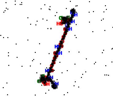 O=C(O)CC(NC(=O)[C@H](CCCCNC(=O)CCOCCOCCOCCOC(=O)NCCCCNC(=O)OCCOCCOCCOCCC(=O)NCCCC[C@H](NC(=O)CCCCNc1ccccn1)C(=O)NC(CC(=O)O)c1cc(Cl)cc(Cl)c1)NC(=O)CCCCNc1ccccn1)c1cc(Cl)cc(Cl)c1